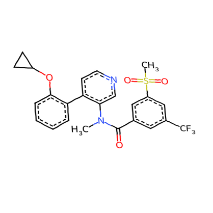 CN(C(=O)c1cc(C(F)(F)F)cc(S(C)(=O)=O)c1)c1cnccc1-c1ccccc1OC1CC1